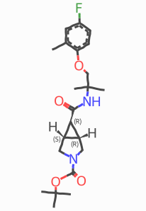 Cc1cc(F)ccc1OCC(C)(C)NC(=O)[C@H]1[C@@H]2CN(C(=O)OC(C)(C)C)C[C@@H]21